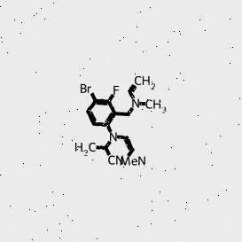 C=CN(C)Cc1c(N(/C=C\NC)C(C)C#N)ccc(Br)c1F